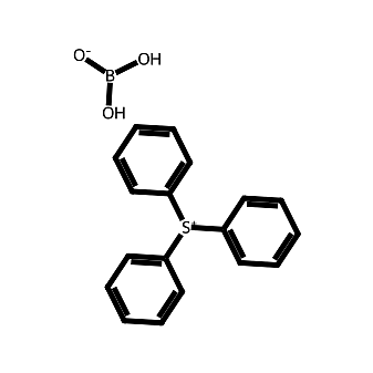 [O-]B(O)O.c1ccc([S+](c2ccccc2)c2ccccc2)cc1